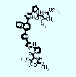 COC(=O)N[C@H](C(=O)N1CCC[C@H]1c1ncc(-c2ccc(-c3ccc(-c4cnc([C@@H]5CCCN5C(=O)[C@@H](NC(=O)OC)C(C)C)[nH]4)c4c3C3CCC4O3)s2)[nH]1)C(C)C